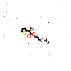 CCCCOC(=O)C(Br)c1cccs1